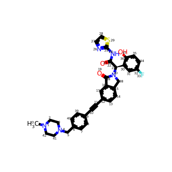 CN1CCN(Cc2ccc(C#Cc3ccc4c(c3)C(=O)N([C@@H](C(=O)Nc3nccs3)c3cc(F)ccc3O)C4)cc2)CC1